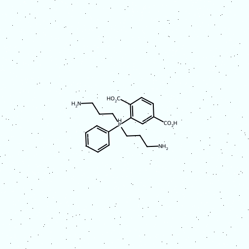 NCCC[PH](CCCN)(c1ccccc1)c1cc(C(=O)O)ccc1C(=O)O